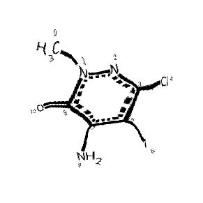 Cn1nc(Cl)c(I)c(N)c1=O